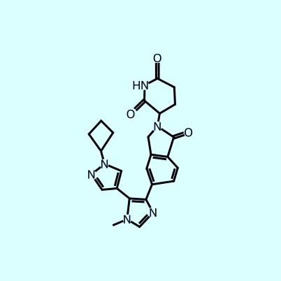 Cn1cnc(-c2ccc3c(c2)CN(C2CCC(=O)NC2=O)C3=O)c1-c1cnn(C2CCC2)c1